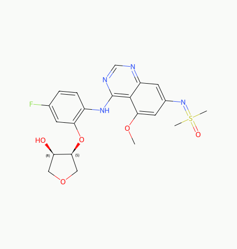 COc1cc(N=S(C)(C)=O)cc2ncnc(Nc3ccc(F)cc3O[C@H]3COC[C@H]3O)c12